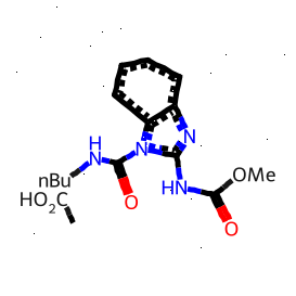 CC(=O)O.CCCCNC(=O)n1c(NC(=O)OC)nc2ccccc21